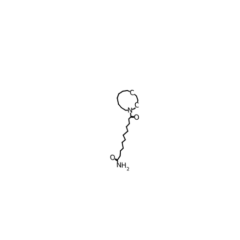 NC(=O)CCCCCCCCCCC(=O)N1CCCCCCCCCCCC1